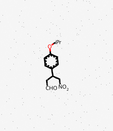 CC(C)Oc1ccc(C(CC=O)C[N+](=O)[O-])cc1